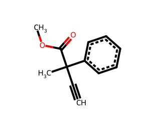 C#CC(C)(C(=O)OC)c1ccccc1